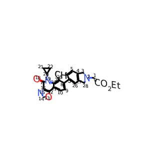 CCOC(=O)CN1Cc2ccc(-c3ccc4c5ocnc5c(=O)n(C5CC5)c4c3C)cc2C1